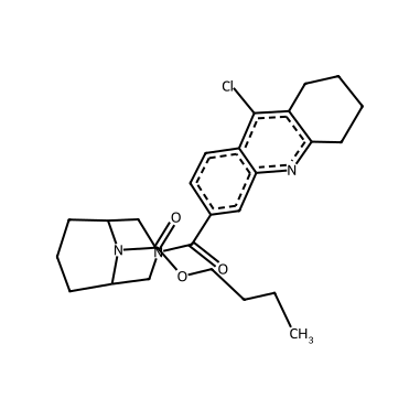 CCCCOC(=O)N1C2CCCC1CN(C(=O)c1ccc3c(Cl)c4c(nc3c1)CCCC4)C2